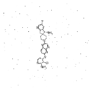 Nc1nccc(Sc2ccc3nc(N4CCC5(CC4)Cc4ncc(F)cc4C5N)cnc3n2)c1Cl